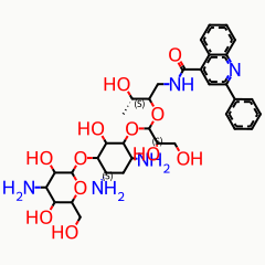 C[C@H](O)C(CNC(=O)c1cc(-c2ccccc2)nc2ccccc12)OC(OC1C(N)C[C@H](N)C(OC2OC(CO)C(O)C(N)C2O)C1O)[C@@H](O)CO